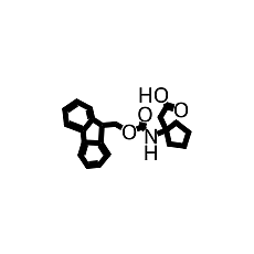 O=C(O)CC1(NC(=O)OCC2c3ccccc3-c3ccccc32)CCCC1